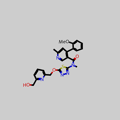 COc1ccccc1-c1cc(C)ncc1C(=O)N(C)c1nnc(OCc2cccc(CO)n2)s1